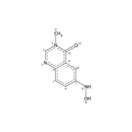 Cn1cnc2ccc(NO)cc2c1=O